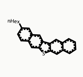 CCCCCCc1ccc2cc3sc4cc5ccccc5cc4c3cc2c1